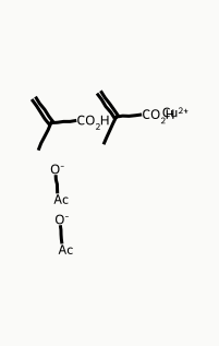 C=C(C)C(=O)O.C=C(C)C(=O)O.CC(=O)[O-].CC(=O)[O-].[Cu+2]